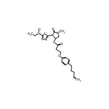 C=CCCCc1ccc(OCCC(=O)OC2CN(C)C(=O)N2c2nnc([S+]([O-])CC)s2)cc1